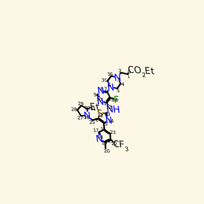 CCOC(=O)CCN1CCN(c2ncnc(Nc3nc(-c4cnc(C)c(C(F)(F)F)c4)c(CN4CCC[C@H]4CC)s3)c2F)CC1